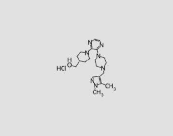 Cc1c(CN2CCN(c3nccnc3N3CCC(CO)CC3)CC2)cnn1C.Cl